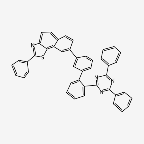 c1ccc(-c2nc(-c3ccccc3)nc(-c3ccccc3-c3cccc(-c4ccc5ccc6nc(-c7ccccc7)sc6c5c4)c3)n2)cc1